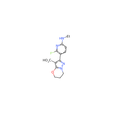 CCNc1ccc(-c2nn3c(c2C(=O)O)OCCC3)c(F)n1